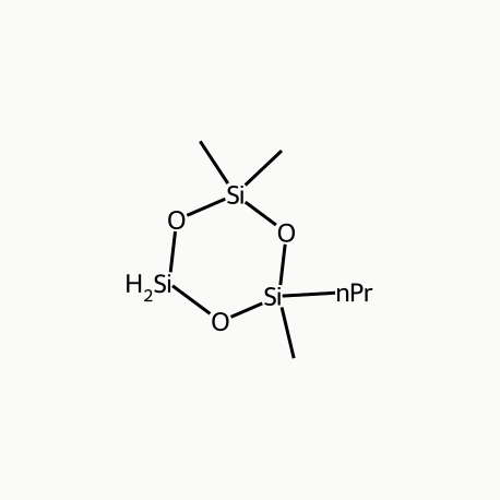 CCC[Si]1(C)O[SiH2]O[Si](C)(C)O1